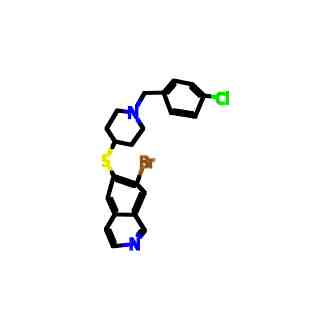 Clc1ccc(CN2CCC(Sc3cc4ccncc4cc3Br)CC2)cc1